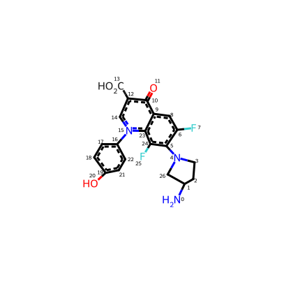 NC1CCN(c2c(F)cc3c(=O)c(C(=O)O)cn(-c4ccc(O)cc4)c3c2F)C1